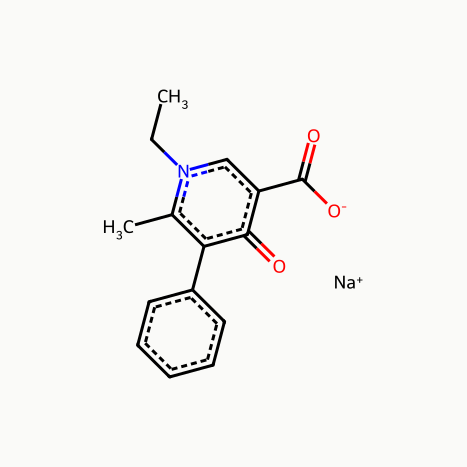 CCn1cc(C(=O)[O-])c(=O)c(-c2ccccc2)c1C.[Na+]